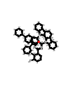 Fc1cccc(-c2nc(-c3ccc(-c4ccccc4)cc3)nc(-n3c4ccccc4c4ccc5c6ccccc6n(-c6ccc(-c7ccccc7)cc6)c5c43)n2)c1Cl